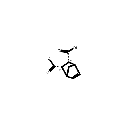 O=C(O)[C@@H]1C2C=CC(C2)[C@@H]1C(=O)O